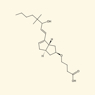 CCCCC(C)(C)C(O)C=CC1=CC[C@@H]2C[C@H](OCCCC(=O)O)C[C@@H]12